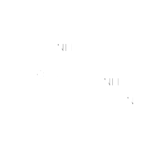 Cc1c(NC2=NCCC2)ccc2c1NCCO2